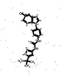 CC(C)(C)c1cc(NC(=O)Nc2ccc(-n3cnc4cc(Cl)cnc43)cc2)no1